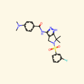 CN(C)c1ccc(C(=O)Nc2n[nH]c3c2CN(S(=O)(=O)c2cccc(F)c2)C3(C)C)cc1